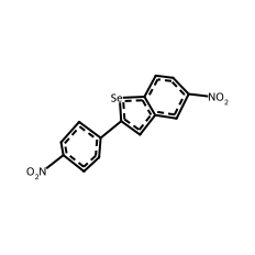 O=[N+]([O-])c1ccc(-c2cc3cc([N+](=O)[O-])ccc3[se]2)cc1